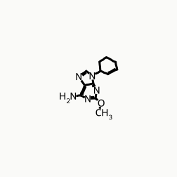 COc1nc(N)c2ncn(C3C=CCCC3)c2n1